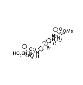 COC(=O)N[C@@H](C(=O)N1CCC[C@H]1C(=O)Nc1ccc2oc(-c3ccc(NC(=O)[C@@H]4CCCN4C(=O)[C@@H](c4ccccc4)N(C)C(=O)O)cc3)c(Br)c2c1)c1ccccc1